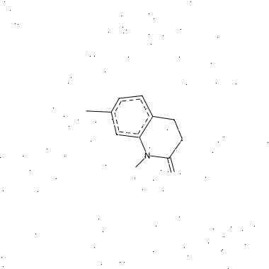 C=C1CCc2ccc(C)cc2N1C